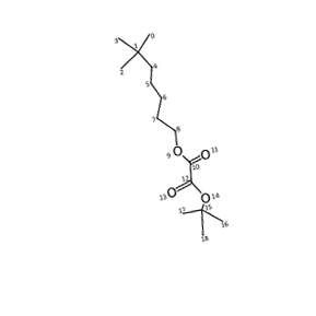 CC(C)(C)CCCCCOC(=O)C(=O)OC(C)(C)C